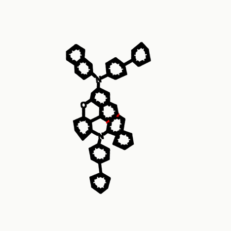 c1ccc(-c2ccc(N(c3ccc4ccccc4c3)c3cc4c5c(cccc5c3)-c3c(cccc3N(c3ccc(-c5ccccc5)cc3)c3cccc5ccccc35)O4)cc2)cc1